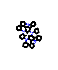 c1ccc(N2c3cccc4c3B3c5c2c2c6ccccc6n6c7ccccc7c(c5N(c5ccccc5)c5c3c(c3c7ccccc7n7c8ccccc8c5c37)N4c3ccccc3)c26)cc1